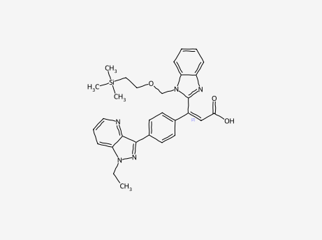 CCn1nc(-c2ccc(/C(=C/C(=O)O)c3nc4ccccc4n3COCC[Si](C)(C)C)cc2)c2ncccc21